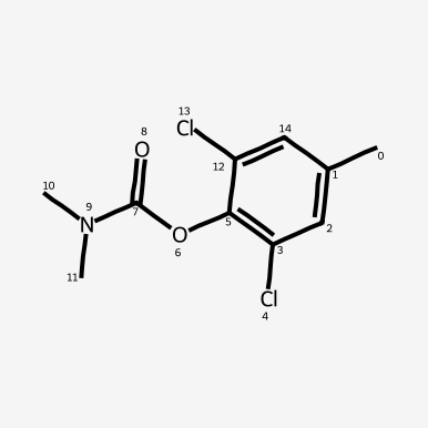 Cc1cc(Cl)c(OC(=O)N(C)C)c(Cl)c1